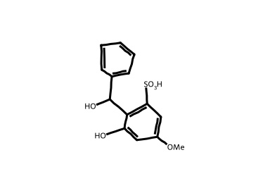 COc1cc(O)c(C(O)c2ccccc2)c(S(=O)(=O)O)c1